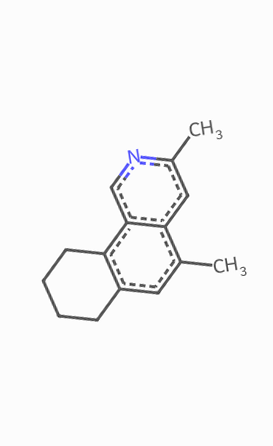 Cc1cc2c(C)cc3c(c2cn1)CCCC3